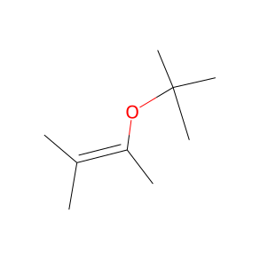 CC(C)=C(C)OC(C)(C)C